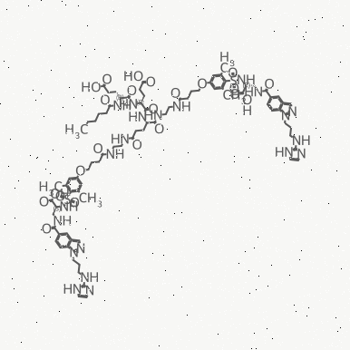 CCCCCC(=O)N[C@H](CCC(=O)O)C(=O)N[C@@H](CCC(=O)O)C(=O)NC(CCC(=O)NCCNC(=O)CCCOc1cc(C)c(S(=O)(=O)N[C@@H](CNC(=O)c2ccc3c(cnn3CCCNc3ncc[nH]3)c2)C(=O)O)c(C)c1)C(=O)NCCNC(=O)CCCOc1cc(C)c(S(=O)(=O)N[C@H](CNC(=O)c2ccc3c(cnn3CCCNc3ncc[nH]3)c2)C(=O)O)c(C)c1